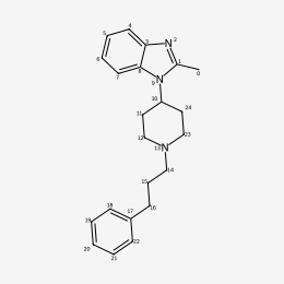 Cc1nc2ccccc2n1C1CCN(CCCc2ccccc2)CC1